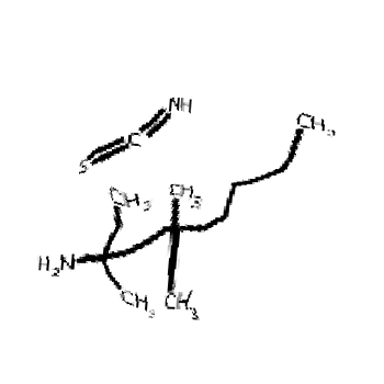 CCCCC(C)(C)C(C)(C)N.N=C=S